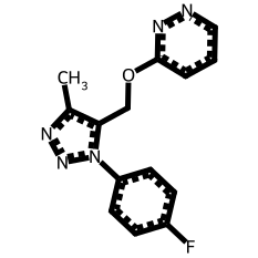 Cc1nnn(-c2ccc(F)cc2)c1COc1cccnn1